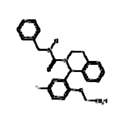 O=C(O)COc1ccc(F)cc1C1c2ccccc2CCN1C(=O)N(Cl)Cc1ccccc1